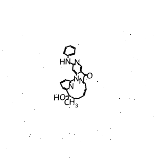 C[C@]1(O)CC/C=C\Cn2c(=O)c3cnc(Nc4ccccc4)cc3n2-c2cccc1n2